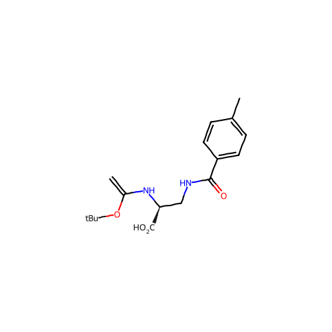 C=C(N[C@@H](CNC(=O)c1ccc(C)cc1)C(=O)O)OC(C)(C)C